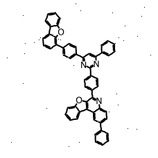 c1ccc(-c2ccc3nc(-c4ccc(-c5nc(-c6ccccc6)cc(-c6ccc(-c7cccc8c7oc7ccccc78)cc6)n5)cc4)c4oc5ccccc5c4c3c2)cc1